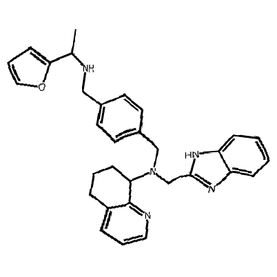 CC(NCc1ccc(CN(Cc2nc3ccccc3[nH]2)C2CCCc3cccnc32)cc1)c1ccco1